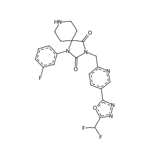 O=C1N(Cc2ccc(-c3nnc(C(F)F)o3)cn2)C(=O)C2(CCNCC2)N1c1cccc(F)c1